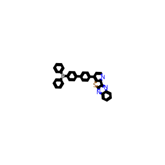 c1ccc(B(c2ccccc2)c2ccc(-c3ccc(-c4ccnc5c4sc4nc6ccccc6nc45)cc3)cc2)cc1